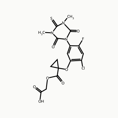 Cn1c(=S)n(C)c(=O)n(-c2cc(OC3(C(=O)OCC(=O)O)CC3)c(Cl)cc2F)c1=O